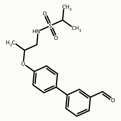 CC(CNS(=O)(=O)C(C)C)Oc1ccc(-c2cccc(C=O)c2)cc1